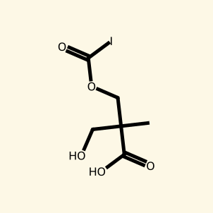 CC(CO)(COC(=O)I)C(=O)O